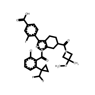 COC1(C)CN(C(=O)C2CCc3c(-c4ccc(C(=O)O)cc4F)nn(C(=O)c4c(Cl)cccc4C4(C(F)F)CC4)c3C2)C1